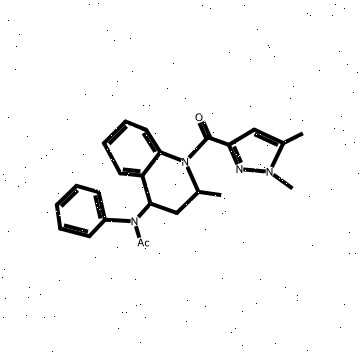 CC(=O)N(c1ccccc1)C1CC(C)N(C(=O)c2cc(C)n(C)n2)c2ccccc21